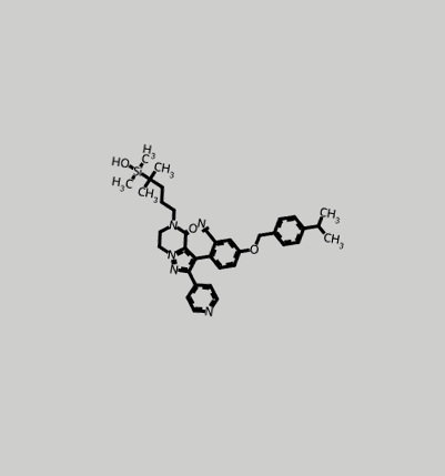 CC(C)c1ccc(COc2ccc(-c3c(-c4ccncc4)nn4c3C(=O)N(CCCC(C)(C)[Si](C)(C)O)CC4)c(C#N)c2)cc1